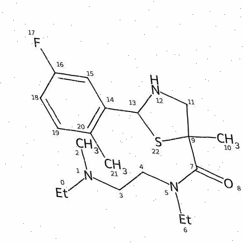 CCN(C)CCN(CC)C(=O)C1(C)CNC(c2cc(F)ccc2C)S1